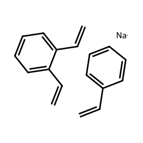 C=Cc1ccccc1.C=Cc1ccccc1C=C.[Na]